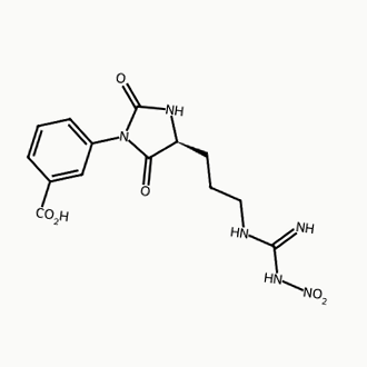 N=C(NCCC[C@@H]1NC(=O)N(c2cccc(C(=O)O)c2)C1=O)N[N+](=O)[O-]